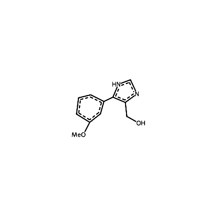 COc1cccc(-c2[nH]cnc2CO)c1